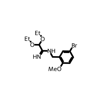 CCOC(OCC)C(=N)NCc1cc(Br)ccc1OC